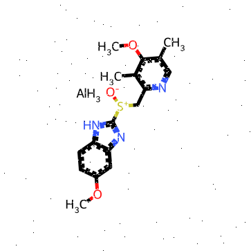 COc1ccc2[nH]c([S+]([O-])Cc3ncc(C)c(OC)c3C)nc2c1.[AlH3]